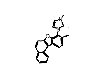 Cc1ccc2c(oc3ccc4ccccc4c32)c1N1C=CN(C)[C@@H]1C